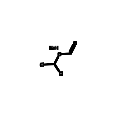 O=COC(Cl)Cl.[NaH]